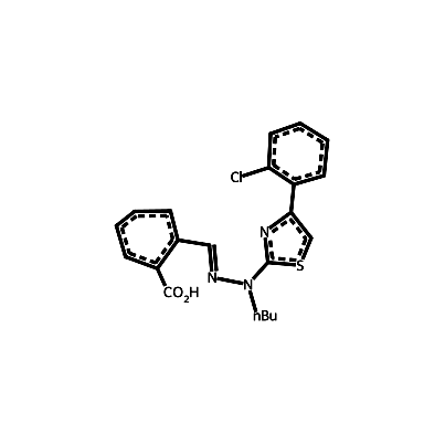 CCCCN(N=Cc1ccccc1C(=O)O)c1nc(-c2ccccc2Cl)cs1